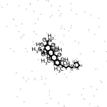 C[C@H]1c2ccc(C(C)(C)CCCN3CCCC3)c(O)c2C(=O)C2=C(O)[C@]3(O)C(=O)C(C(N)=O)=C(O)[C@@H](N(C)C)[C@@H]3C[C@@H]21